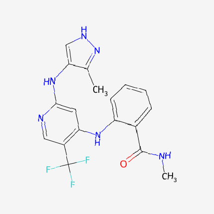 CNC(=O)c1ccccc1Nc1cc(Nc2c[nH]nc2C)ncc1C(F)(F)F